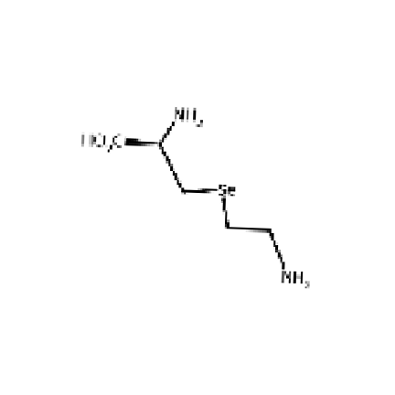 NCC[Se]C[C@H](N)C(=O)O